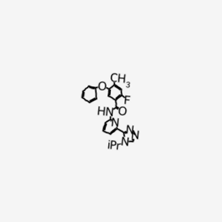 Cc1cc(F)c(C(=O)Nc2cccc(-c3nncn3C(C)C)n2)cc1Oc1ccccc1